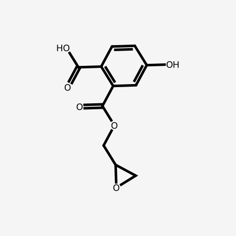 O=C(O)c1ccc(O)cc1C(=O)OCC1CO1